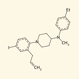 C=CCc1cc(I)ccc1N1CCC(N(C)c2ccc(CC)cc2)CC1